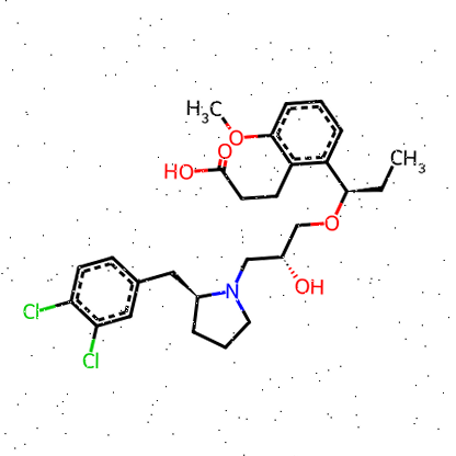 CC[C@@H](OC[C@H](O)CN1CCC[C@H]1Cc1ccc(Cl)c(Cl)c1)c1cccc(OC)c1CCC(=O)O